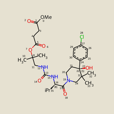 COC(=O)CCC(=O)OC(C)(C)CNC(=O)N[C@@H](C(=O)N1CC[C@](O)(c2ccc(Cl)cc2)C(C)(C)C1)C(C)C